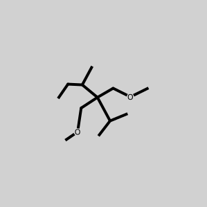 CCC(C)C(COC)(COC)C(C)C